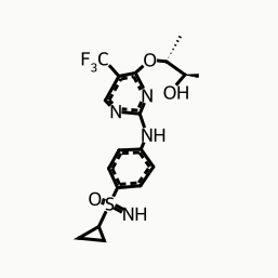 C[C@@H](O)[C@@H](C)Oc1nc(Nc2ccc(S(=N)(=O)C3CC3)cc2)ncc1C(F)(F)F